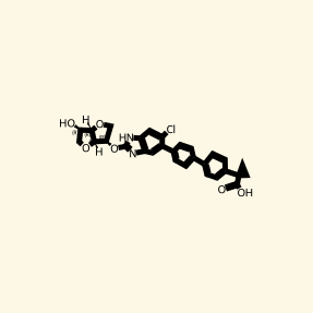 O=C(O)C1(c2ccc(-c3ccc(-c4cc5nc(O[C@@H]6CO[C@H]7[C@@H]6OC[C@H]7O)[nH]c5cc4Cl)cc3)cc2)CC1